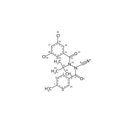 Cc1ccc(C(=O)N(C#N)N(C(=O)c2cc(Cl)cc(Cl)c2)C(C)(C)C)cc1